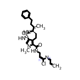 C=C/C=N\C(Cl)=C/CNC(=O)c1c2c(cn1C)S(=N)(=O)N[C@@H]([C@@H](C)CCc1ccccc1)CC2